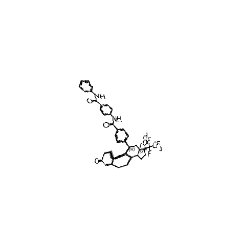 C[C@]12C[C@H](c3ccc(C(=O)Nc4ccc(C(=O)Nc5ccccc5)cc4)cc3)C3=C4CCC(=O)C=C4CCC3C1CC[C@]2(O)C(F)(F)C(F)(F)F